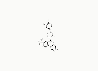 CC(=O)c1ccc(N2CCN(C(=O)c3cc(S(C)(=O)=O)ccc3-c3ccc(F)cc3)CC2)cc1Cl